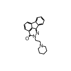 O=c1c2cccc3c2c(nn1CCN1CCCCC1)-c1ccccc1-3